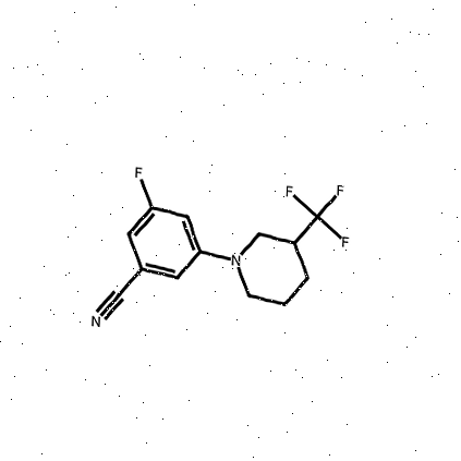 N#Cc1cc(F)cc(N2CCCC(C(F)(F)F)C2)c1